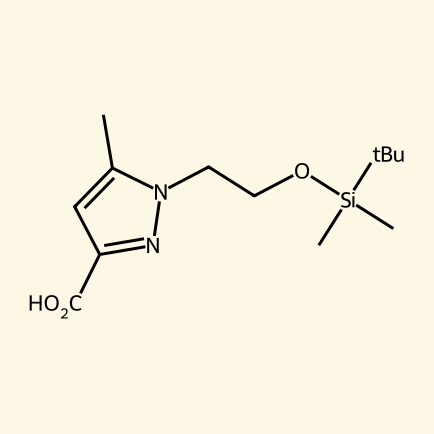 Cc1cc(C(=O)O)nn1CCO[Si](C)(C)C(C)(C)C